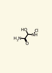 NC(=O)C(O)NCl